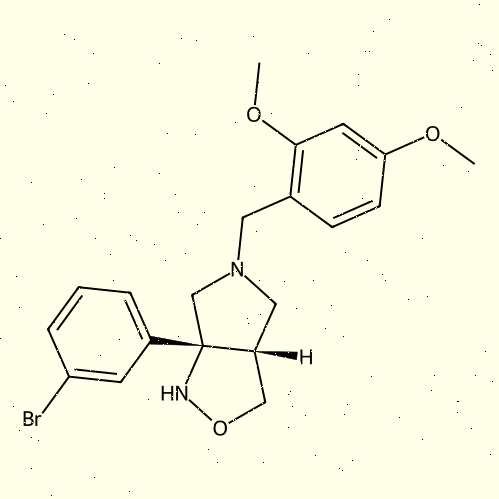 COc1ccc(CN2C[C@@H]3CON[C@]3(c3cccc(Br)c3)C2)c(OC)c1